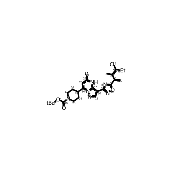 C=C(/C(C)=C(/Cl)CC)c1nc(-c2cnn3c(C4CCN(C(=O)OC(C)(C)C)CC4)cc(=O)[nH]c23)no1